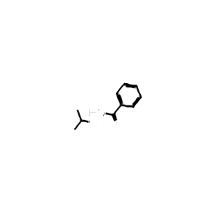 CC(C)ONC(=S)c1ccccc1